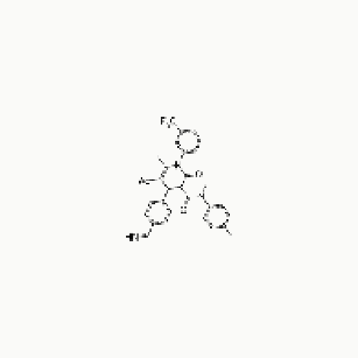 CC(=O)C1=C(C)N(c2cccc(C(F)(F)F)c2)C(=O)C(C(=O)N(C)c2ccc(C)cc2)C1c1ccc(C=N)cc1